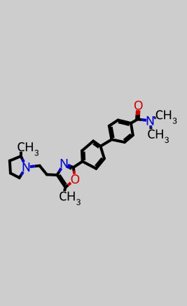 Cc1oc(-c2ccc(-c3ccc(C(=O)N(C)C)cc3)cc2)nc1CCN1CCCC1C